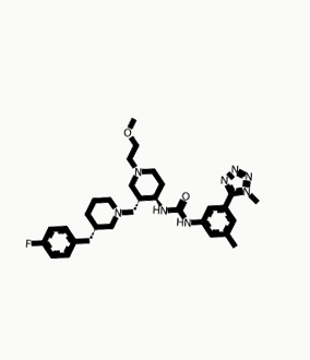 COCCN1CC[C@@H](NC(=O)Nc2cc(C)cc(-c3nnnn3C)c2)[C@H](CN2CCC[C@@H](Cc3ccc(F)cc3)C2)C1